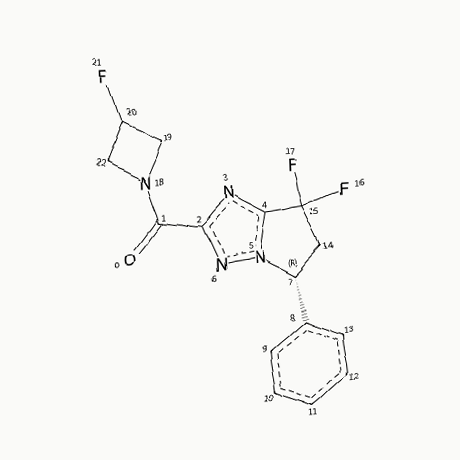 O=C(c1nc2n(n1)[C@@H](c1ccccc1)CC2(F)F)N1CC(F)C1